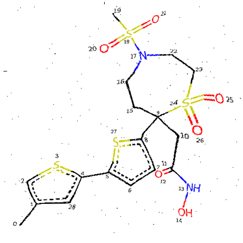 Cc1csc(-c2ccc(C3(CC(=O)NO)CCN(S(C)(=O)=O)CCS3(=O)=O)s2)c1